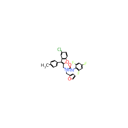 Cc1ccc(-c2c(CN(Cc3ccco3)C(=O)Nc3c(F)cc(F)cc3F)oc3ccc(Cl)cc23)cc1